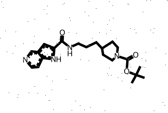 CC(C)(C)OC(=O)N1CCC(CCCNC(=O)c2cc3cnccc3[nH]2)CC1